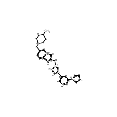 CC1CCN(Cc2ccc3nc(Cn4cc(-c5cncc(-n6cccc6)c5)nn4)cn3c2)CC1